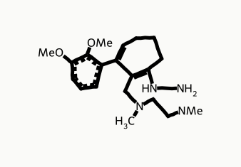 CNCCN(C)CC1=C(NN)CCCC=C1c1cccc(OC)c1OC